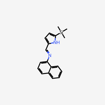 C[Si](C)(C)c1ccc(/C=N/c2cccc3ccccc23)[nH]1